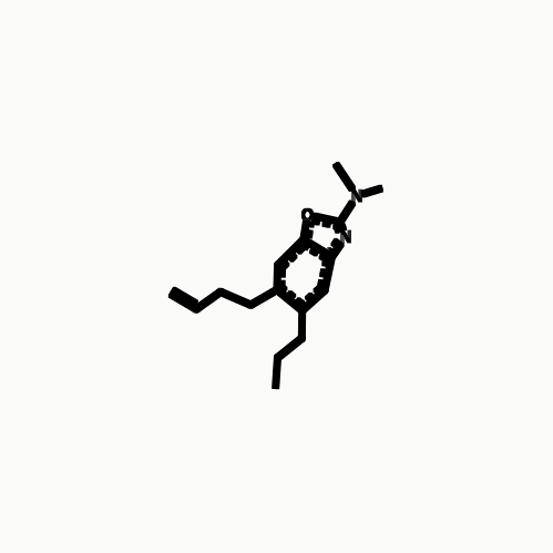 C=CCCc1cc2oc(N(C)C)nc2cc1CCC